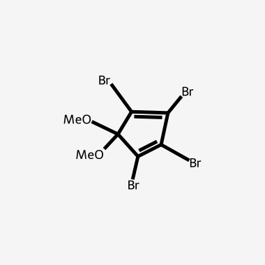 COC1(OC)C(Br)=C(Br)C(Br)=C1Br